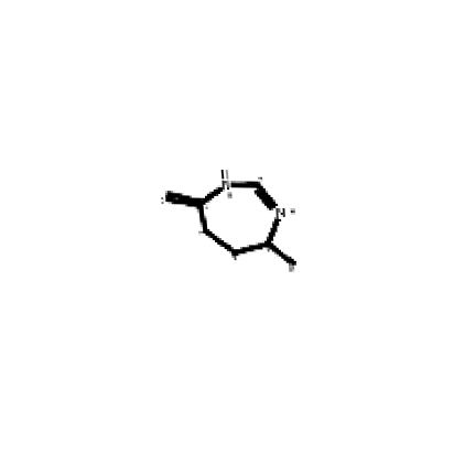 C=C1CCC(C)N=CN1